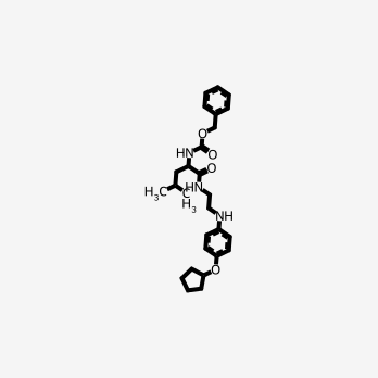 CC(C)CC(NC(=O)OCc1ccccc1)C(=O)NCCNc1ccc(OC2CCCC2)cc1